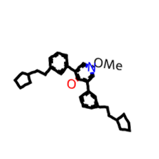 COn1cc(-c2cccc(CCC3CCCC3)c2)c(=O)c(-c2cccc(CCC3CCCC3)c2)c1